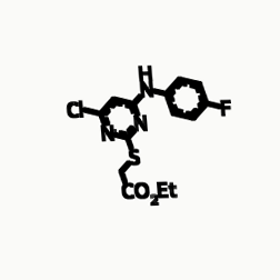 CCOC(=O)CSc1nc(Cl)cc(Nc2ccc(F)cc2)n1